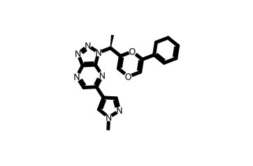 C[C@@H](C1=COC=C(C2=CC=CCC2)O1)n1nnc2ncc(-c3cnn(C)c3)nc21